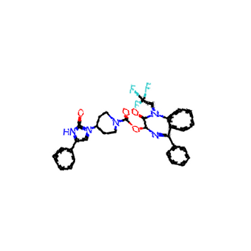 O=C(OC1N=C(c2ccccc2)c2ccccc2N(CC(F)(F)F)C1=O)N1CCC(n2cc(-c3ccccc3)[nH]c2=O)CC1